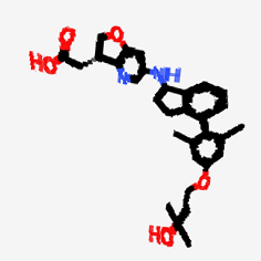 Cc1cc(OCCC(C)(C)O)cc(C)c1-c1cccc2c1CC[C@H]2Nc1cnc2c(c1)OC[C@H]2CC(=O)O